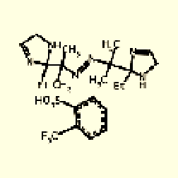 CCC1(C(C)(C)N=NC(C)(C)C2(CC)N=CCN2)N=CCN1.O=S(=O)(O)c1ccccc1C(F)(F)F